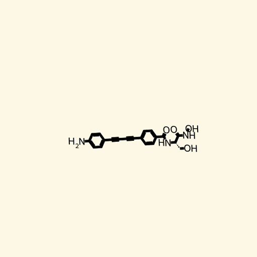 Nc1ccc(C#CC#Cc2ccc(C(=O)N[C@@H](CO)C(=O)NO)cc2)cc1